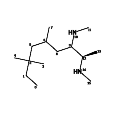 CCC(C)(C)CC(C)CC(NC)[C@@H](C)NC